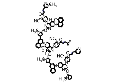 Cc1cccc2cccc(N3CCc4c(nc(OC[C@@H]5CC(c6cc(N7CCc8c(nc(OC[C@@H]9CC(c%10cc(N%11CCc%12c(nc(OC[C@@H]%13CCCN%13C)nc%12N%12CCN(C(=O)/C=C/c%13cccnc%13)[C@@H](CC#N)C%12)C%11)c%11ccccc%11c%10)CN9C)nc8N8CCN(C(=O)/C=C/C(F)F)[C@@H](CC#N)C8)C7)c7c(C)cccc7c6)CN5C)nc4N4CCN(C(=O)/C=C/c5cnn(C)c5)[C@@H](CC#N)C4)C3)c12